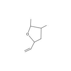 C=CC1CC(C)C(C)O1